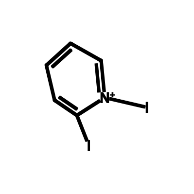 Ic1cccc[n+]1I